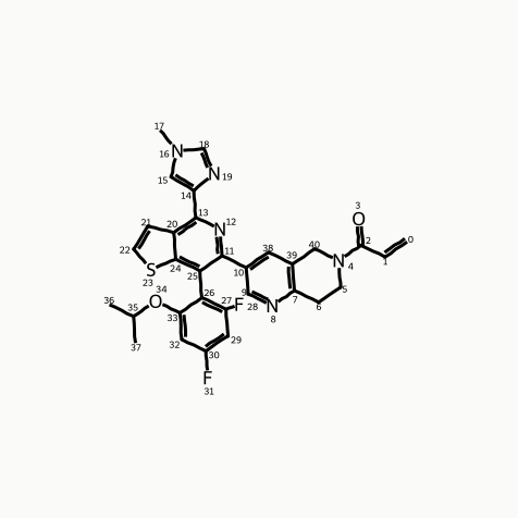 C=CC(=O)N1CCc2ncc(-c3nc(-c4cn(C)cn4)c4ccsc4c3-c3c(F)cc(F)cc3OC(C)C)cc2C1